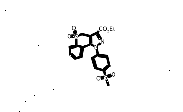 CCOC(=O)c1nn(-c2ccc(S(C)(=O)=O)cc2)c2c1CS(=O)(=O)c1ccccc1-2